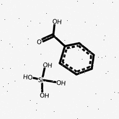 O=C(O)c1ccccc1.O[Si](O)(O)O